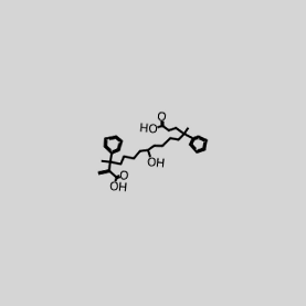 C=C(C(=O)O)C(C)(CCCCC(O)CCCCC(C)(CCC(=O)O)c1ccccc1)c1ccccc1